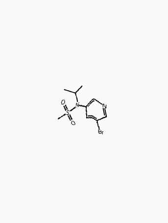 CC(C)N(c1cncc(Br)c1)S(C)(=O)=O